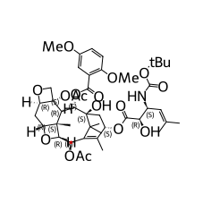 COc1ccc(OC)c(C(=O)O[C@H]2[C@@H]3[C@]4(OC(C)=O)CO[C@@H]4C[C@H]4O[C@@H]([C@H](OC(C)=O)C5=C(C)[C@@H](OC(=O)[C@H](O)[C@H](C=C(C)C)NC(=O)OC(C)(C)C)C[C@]2(O)C5(C)C)[C@@]34C)c1